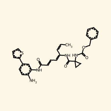 C\C=C/C(=C\C=C\C(=O)Nc1cc(-c2cccs2)ccc1N)NC(=O)C1(NC(=O)OCc2ccccc2)CC1